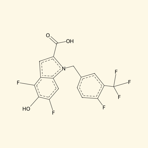 O=C(O)c1cc2c(F)c(O)c(F)cc2n1Cc1ccc(F)c(C(F)(F)F)c1